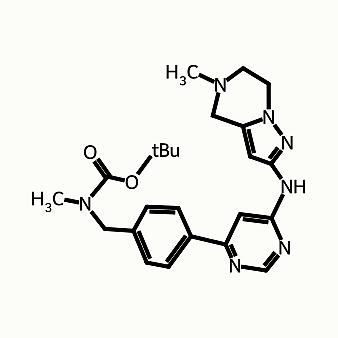 CN1CCn2nc(Nc3cc(-c4ccc(CN(C)C(=O)OC(C)(C)C)cc4)ncn3)cc2C1